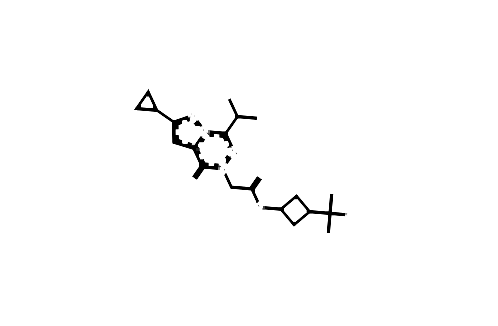 CC(C)c1nn(CC(=O)NC2CC(C(C)(C)O)C2)c(=O)c2cc(C3CC3)nn12